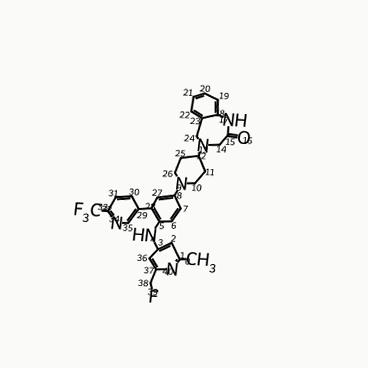 Cc1cc(Nc2ccc(N3CCC(N4CC(=O)Nc5ccccc5C4)CC3)cc2-c2ccc(C(F)(F)F)nc2)cc(CF)n1